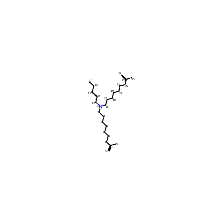 C=C(C)CCCCCCCN(CCCCC)CCCCCCCC(=C)C